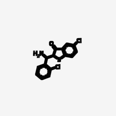 NC(c1ccccc1Cl)C1Sc2ccc(Cl)cc2C1=O